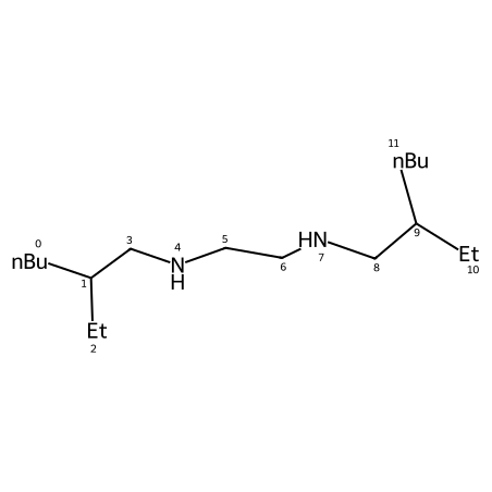 CCCCC(CC)CNCCNCC(CC)CCCC